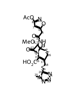 CO[C@@]1(NC(=O)Cc2cc(OC(C)=O)no2)C(=O)N2C(C(=O)O)=C(CSc3nnnn3C)CS[C@H]21